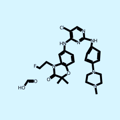 CN1CCN(c2ccc(Nc3ncc(Cl)c(Nc4ccc5c(c4)N(CCF)C(=O)C(C)(C)O5)n3)cc2)CC1.O=CO